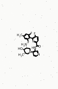 Cc1cc(F)c(-c2nc(C(=O)Nc3cnccc3N3C[C@@H](N)[C@H](O)[C@@H](C)C3)ccc2F)c(F)c1